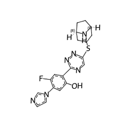 Oc1cc(-n2ccnc2)c(F)cc1-c1ncc(SC2C[C@H]3CC[C@@H](C2)N3)nn1